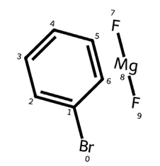 Brc1ccccc1.[F][Mg][F]